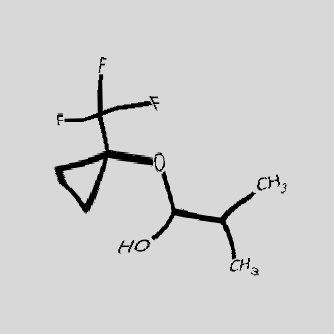 CC(C)C(O)OC1(C(F)(F)F)CC1